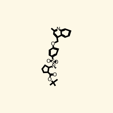 Cc1cc(COc2ccc(S(=O)(=O)N(C)C3CCCC3C(=O)OC(C)(C)C)cc2)c2ccccc2n1